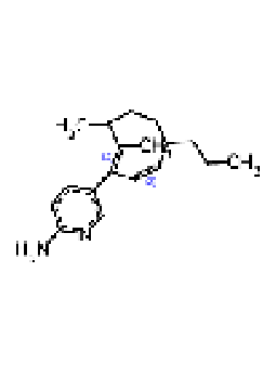 CCCC1/C=C\C(c2ccc(N)nc2)=C(/C)C(C)CC1